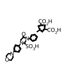 Cc1cc(C(=O)O)cc(C(=O)O)c1.O=C1CN(c2ccc(N3CCOCC3)cc2)C(S(=O)(=O)O)N1c1ccccc1